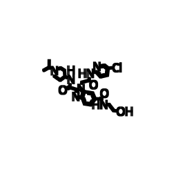 CC(C)N1CCC(NC(=O)c2nc3ccc(C(=O)NCCO)cc3n2CC(=O)Nc2ccc(Cl)cn2)CC1